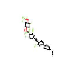 CCCCc1ccc(-c2ccc(C#Cc3cc(F)c(C(F)(F)Oc4cc(F)c(OC(F)(F)F)c(F)c4)c(F)c3)c(F)c2)cc1